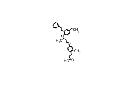 CCc1ccc(O[C@H](C)CCOc2ccc(CCC(=O)O)c(C)c2)c(CCc2ccccc2)c1